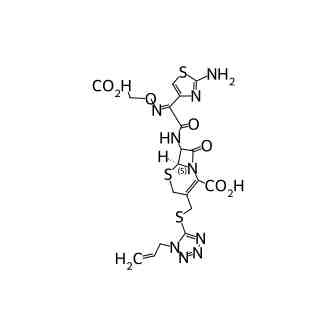 C=CCn1nnnc1SCC1=C(C(=O)O)N2C(=O)C(NC(=O)C(=NOCC(=O)O)c3csc(N)n3)[C@@H]2SC1